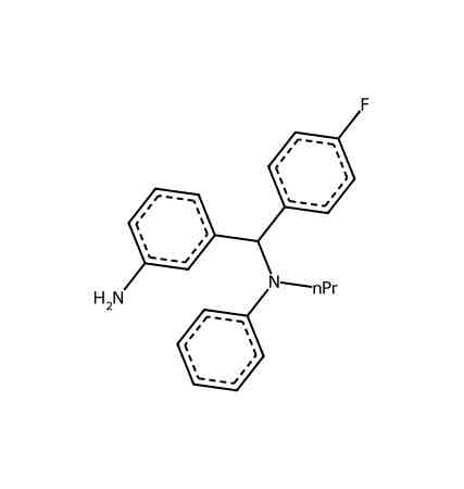 CCCN(c1ccccc1)C(c1ccc(F)cc1)c1cccc(N)c1